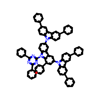 c1ccc(-c2ccc3c(c2)c2cc(-c4ccccc4)ccc2n3-c2ccc3c(c2)c2cc(-n4c5ccc(-c6ccccc6)cc5c5cc(-c6ccccc6)ccc54)cc(-c4ccccc4)c2n3-c2nc(-c3ccccc3)nc(-c3ccccc3)n2)cc1